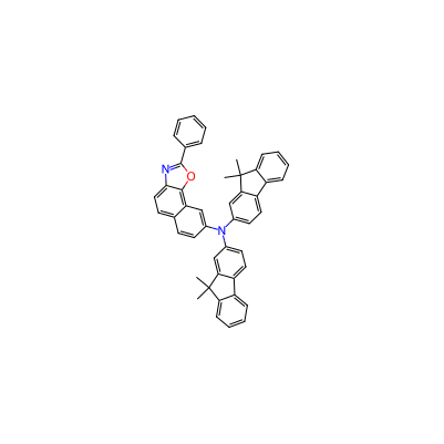 CC1(C)c2ccccc2-c2ccc(N(c3ccc4c(c3)C(C)(C)c3ccccc3-4)c3ccc4ccc5nc(-c6ccccc6)oc5c4c3)cc21